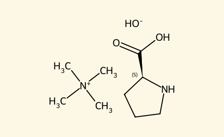 C[N+](C)(C)C.O=C(O)[C@@H]1CCCN1.[OH-]